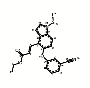 CCOC(=O)/C=C/c1c(Oc2cccc(C#N)c2)ccc2c1ccn2SI